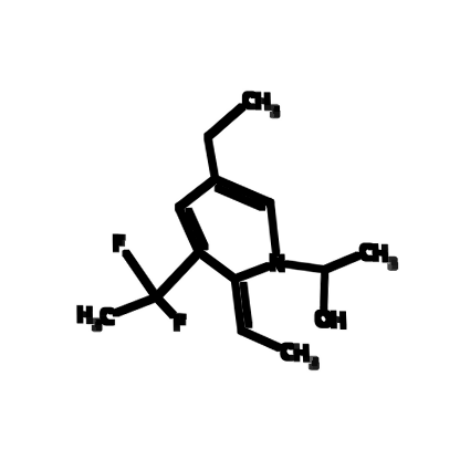 C/C=C1/C(C(C)(F)F)=CC(CC)=CN1C(C)O